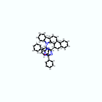 c1ccc(-c2nc(-c3ccccc3)nc(-c3cc4ccccc4c4ccc5c6ccccc6n(-c6ccccc6)c5c34)n2)cc1